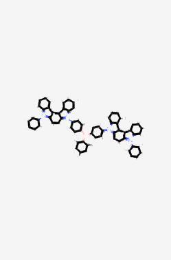 FC(F)(F)c1cc(C(F)(F)F)c(B(c2ccc(-n3c4ccccc4c4c5c6ccccc6n(-c6ccccc6)c5ccc43)cc2)c2ccc(-n3c4ccccc4c4c5c6ccccc6n(-c6ccccc6)c5ccc43)cc2)c(C(F)(F)F)c1